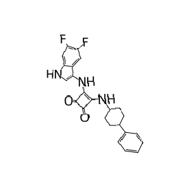 O=c1c(Nc2c[nH]c3cc(F)c(F)cc23)c(NC2CCC(c3ccccc3)CC2)c1=O